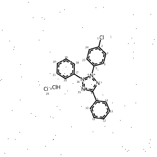 Cl.Clc1ccc(-[n+]2nc(-c3ccccc3)nn2-c2ccccc2)cc1.[Cl-]